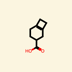 O=C(O)C1CCC2=C(CC2)C1